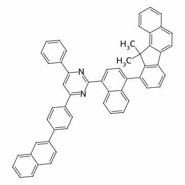 CC1(C)c2c(cccc2-c2ccc(-c3nc(-c4ccccc4)cc(-c4ccc(-c5ccc6ccccc6c5)cc4)n3)c3ccccc23)-c2ccc3ccccc3c21